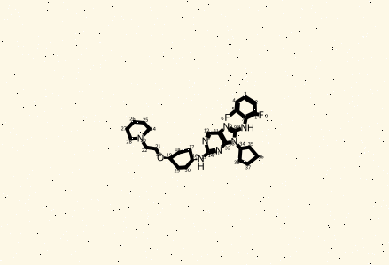 Fc1cccc(F)c1Nc1nc2cnc(N[C@H]3CC[C@H](OCCN4CCCCC4)CC3)nc2n1C1CCCC1